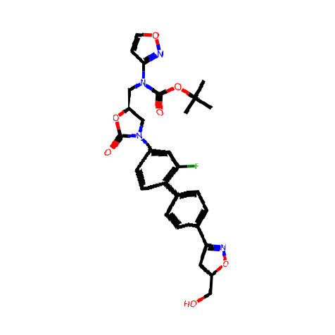 CC(C)(C)OC(=O)N(C[C@H]1CN(c2ccc(-c3ccc(C4=NOC(CO)C4)cc3)c(F)c2)C(=O)O1)c1ccon1